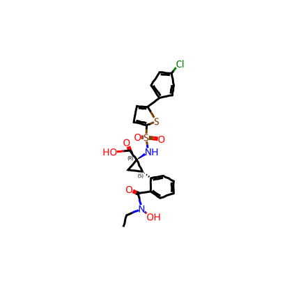 CCN(O)C(=O)c1ccccc1[C@@H]1C[C@]1(NS(=O)(=O)c1ccc(-c2ccc(Cl)cc2)s1)C(=O)O